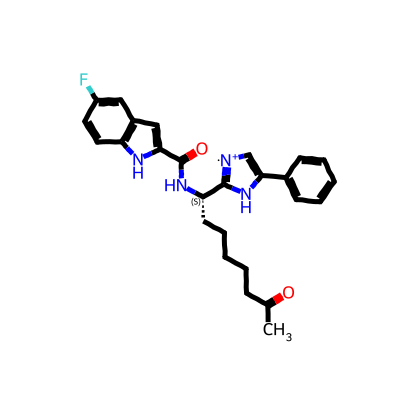 CC(=O)CCCCC[C@H](NC(=O)c1cc2cc(F)ccc2[nH]1)C1=[N+]C=C(c2ccccc2)N1